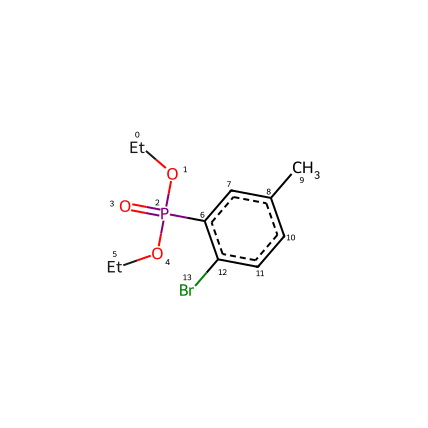 CCOP(=O)(OCC)c1cc(C)ccc1Br